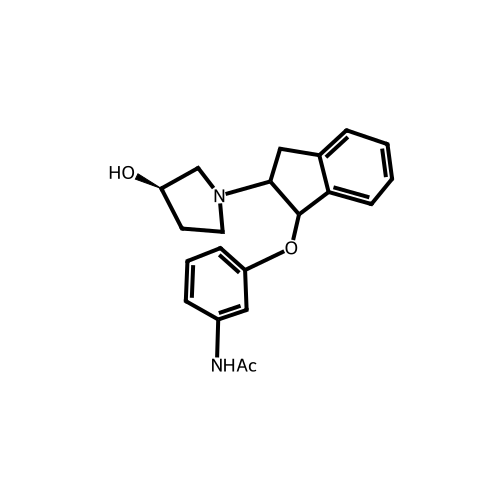 CC(=O)Nc1cccc(OC2c3ccccc3CC2N2CC[C@@H](O)C2)c1